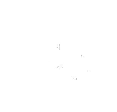 COC(=O)C(NC(=O)CN(C)C(=O)OC(C)(C)C)C1CCCCC1